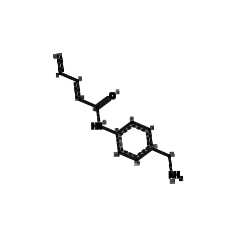 C=CC=CC(=O)Nc1ccc(CN)cc1